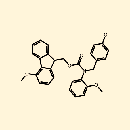 COc1ccccc1N(Cc1ccc([O])cc1)C(=O)OCC1c2ccccc2-c2c(OC)cccc21